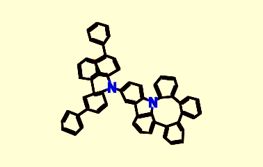 c1ccc(-c2ccc(N(c3ccc4c(c3)c3cccc5c6ccccc6c6ccccc6c6ccccc6n4c53)c3ccc(-c4ccccc4)cc3-c3ccccc3)cc2)cc1